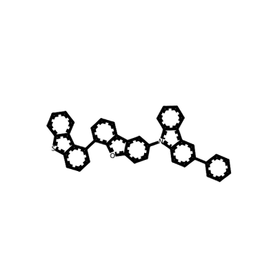 c1ccc(-c2ccc3c(c2)c2ccccc2n3-c2ccc3oc4c(-c5cccc6sc7ccccc7c56)cccc4c3c2)cc1